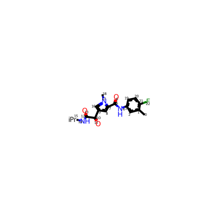 Cc1cc(NC(=O)c2cc(C(=O)C(=O)NC(C)C)cn2C)ccc1F